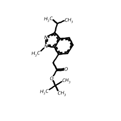 CC(C)c1nn(C)c2c(CC(=O)OC(C)(C)C)cccc12